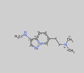 CNc1cnn2cc(CCN(C)C)ccc12